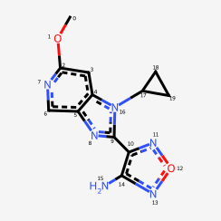 COc1cc2c(cn1)nc(-c1nonc1N)n2C1CC1